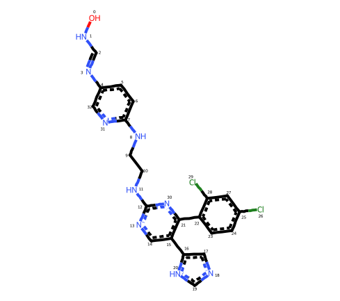 ONC=Nc1ccc(NCCNc2ncc(-c3cnc[nH]3)c(-c3ccc(Cl)cc3Cl)n2)nc1